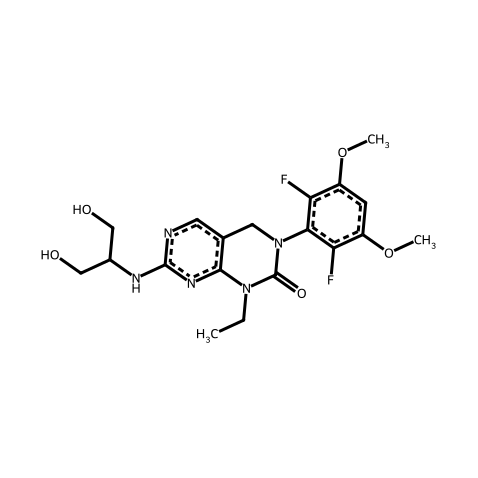 CCN1C(=O)N(c2c(F)c(OC)cc(OC)c2F)Cc2cnc(NC(CO)CO)nc21